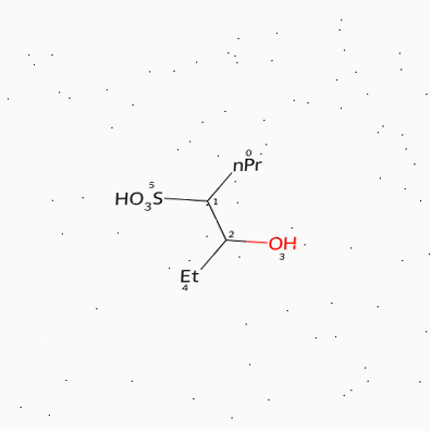 CCC[C](C(O)CC)S(=O)(=O)O